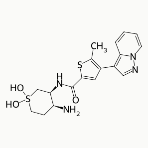 Cc1sc(C(=O)N[C@@H]2CS(O)(O)CC[C@@H]2N)cc1-c1cnn2ccccc12